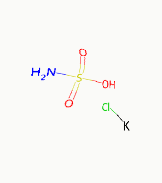 NS(=O)(=O)O.[Cl][K]